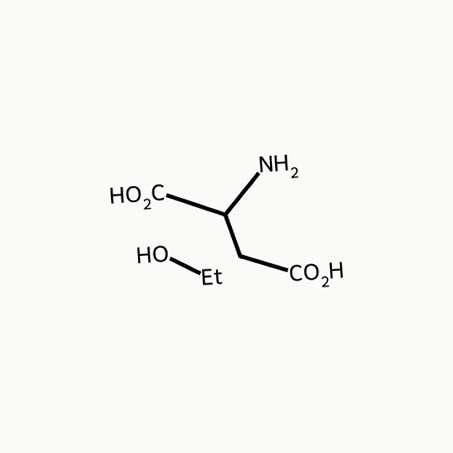 CCO.NC(CC(=O)O)C(=O)O